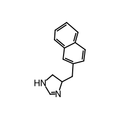 C1=NC(Cc2ccc3ccccc3c2)CN1